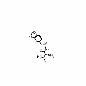 CC(O)C(N)C(=O)N(C)C(C)Cc1ccc2c(c1)OCO2